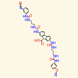 N#COc1cccc(NC(=O)NCCCNC(=O)Nc2ccc3c(c2)C(C(=O)O)c2cc(NC(=O)NCCCNC(=O)Nc4cccc(N=C=O)c4)ccc2-3)c1